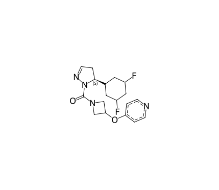 O=C(N1CC(Oc2ccncc2)C1)N1N=CC[C@H]1C1CC(F)CC(F)C1